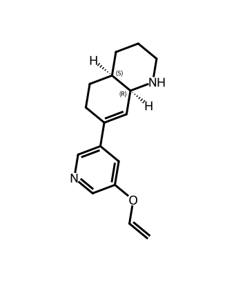 C=COc1cncc(C2=C[C@@H]3NCCC[C@@H]3CC2)c1